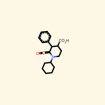 O=C=C1C(c2ccccc2)C(C(=O)O)CCN1C1CCCCC1